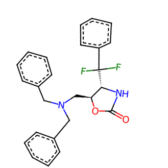 O=C1N[C@@H](C(F)(F)c2ccccc2)[C@H](CN(Cc2ccccc2)Cc2ccccc2)O1